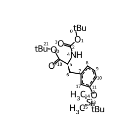 CC(C)(C)OC(=O)N[C@@H](Cc1cccc(O[Si](C)(C)C(C)(C)C)c1)C(=O)OC(C)(C)C